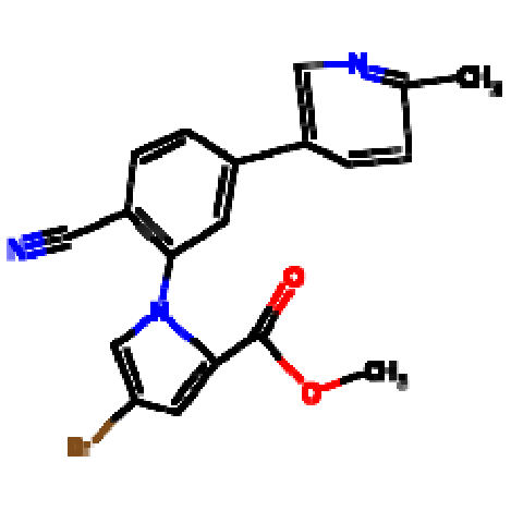 COC(=O)c1cc(Br)cn1-c1cc(-c2ccc(C)nc2)ccc1C#N